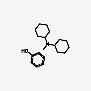 CN(C1CCCCC1)C1CCCCC1.Oc1ccccc1